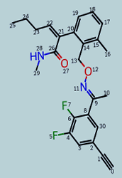 C#Cc1cc(F)c(F)c(/C(C)=N/OCc2c(C)cccc2/C(=C/CCC)C(=O)NC)c1